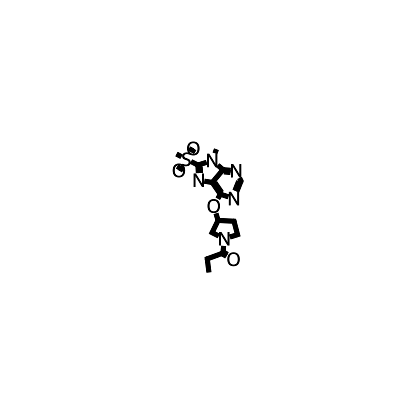 CCC(=O)N1CCC(Oc2ncnc3c2nc(S(C)(=O)=O)n3C)C1